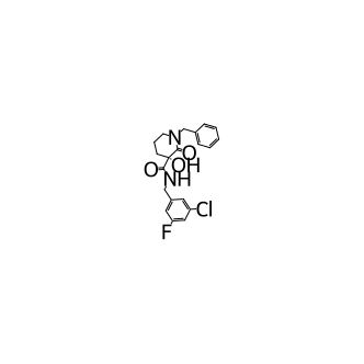 O=C(NCc1cc(F)cc(Cl)c1)[C@@]1(O)CCCN(Cc2ccccc2)C1=O